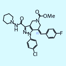 COC(=O)N1C/C(=C\c2ccc(F)cc2)c2c(c(C(=O)NN3CCCCC3)nn2-c2ccc(Cl)cc2)C1